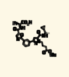 CC(C)[C@H](NC(=O)c1cnc(-c2cccc(-c3cc(C(=O)N[C@@H](C)C4CC4)n(CCCC(=O)OC(C)(C)C)n3)c2)o1)C(=O)O